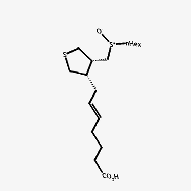 CCCCCC[S+]([O-])C[C@H]1CSC[C@H]1CC=CCCCC(=O)O